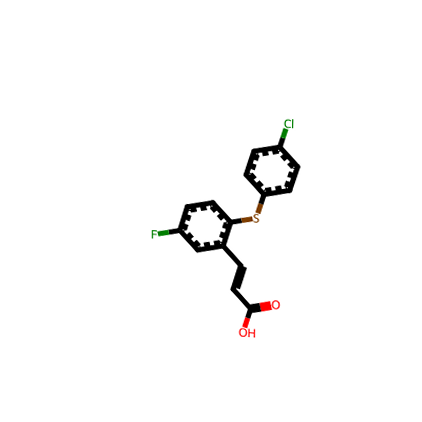 O=C(O)/C=C/c1cc(F)ccc1Sc1ccc(Cl)cc1